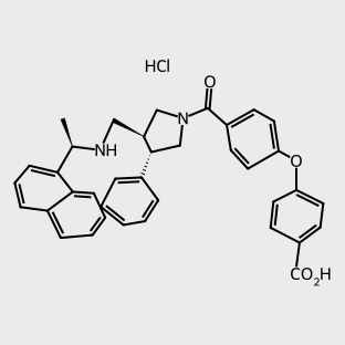 C[C@@H](NC[C@H]1CN(C(=O)c2ccc(Oc3ccc(C(=O)O)cc3)cc2)C[C@@H]1c1ccccc1)c1cccc2ccccc12.Cl